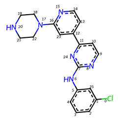 Clc1cccc(Nc2nccc(-c3ccnc(N4CCNCC4)c3)n2)c1